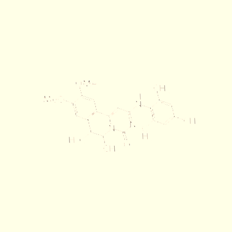 COc1cc2c(cc1OC)C(C)C(C)n1c-2cc(Nc2c(C)cc(C)cc2C)nc1=O